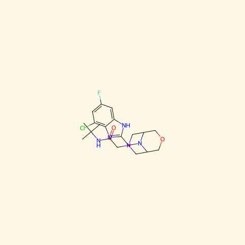 CC(C)(C)NC(=O)CN1CC2COCC(C1)N2Cc1nc2c(Cl)cc(F)cc2[nH]1